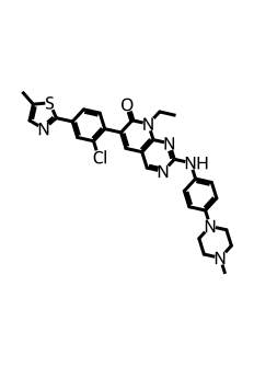 CCn1c(=O)c(-c2ccc(-c3ncc(C)s3)cc2Cl)cc2cnc(Nc3ccc(N4CCN(C)CC4)cc3)nc21